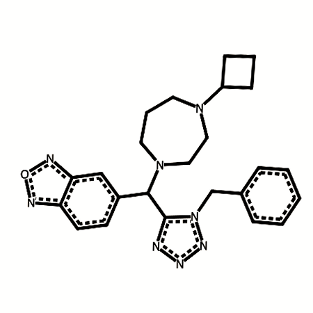 c1ccc(Cn2nnnc2C(c2ccc3nonc3c2)N2CCCN(C3CCC3)CC2)cc1